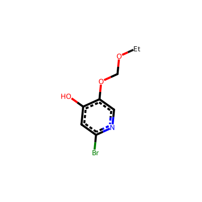 CCOCOc1cnc(Br)cc1O